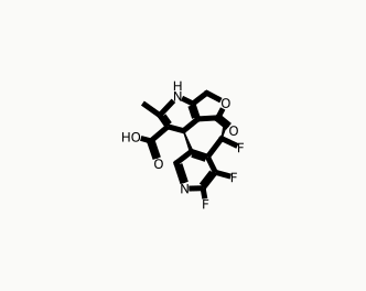 CC1=C(C(=O)O)[C@H](c2cnc(F)c(F)c2[C@@H](C)F)C2=C(COC2=O)N1